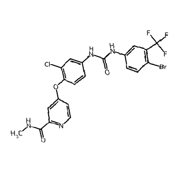 CNC(=O)c1cc(Oc2ccc(NC(=O)Nc3ccc(Br)c(C(F)(F)F)c3)cc2Cl)ccn1